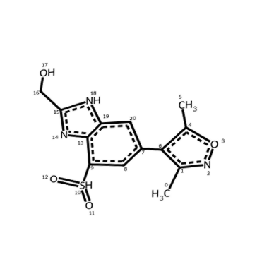 Cc1noc(C)c1-c1cc([SH](=O)=O)c2nc(CO)[nH]c2c1